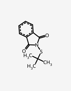 CC(C)(C)SN1C(=O)c2ccccc2C1=O